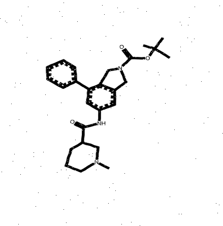 CN1CCCC(C(=O)Nc2cc3c(c(-c4ccccc4)c2)CN(C(=O)OC(C)(C)C)C3)C1